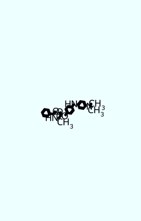 CC(NC(=O)c1ccccc1)C(=O)Oc1ccc(Nc2ccc(N(C)C)cc2)cc1